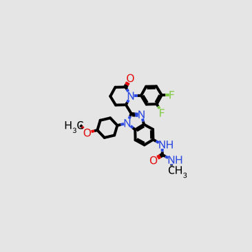 CNC(=O)Nc1ccc2c(c1)nc(C1CCCC(=O)N1c1ccc(F)c(F)c1)n2C1CCC(OC)CC1